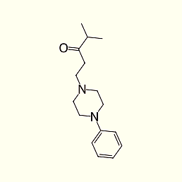 CC(C)C(=O)CCN1CCN(c2ccccc2)CC1